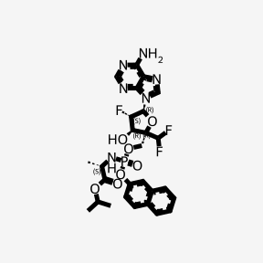 CC(C)OC(=O)[C@H](C)NP(=O)(OC[C@@]1(C(F)F)O[C@@H](n2cnc3c(N)ncnc32)[C@@H](F)[C@@H]1O)Oc1ccc2ccccc2c1